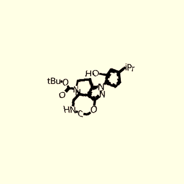 CC(C)c1ccc(-n2nc3c4c2CCN(C(=O)OC(C)(C)C)[C@H]4CNCCO3)c(O)c1